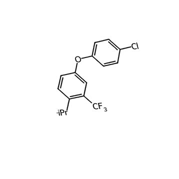 C[C](C)c1ccc(Oc2ccc(Cl)cc2)cc1C(F)(F)F